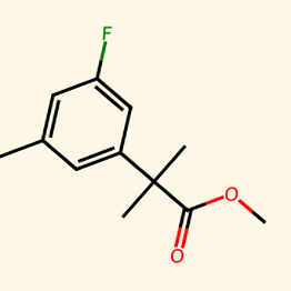 COC(=O)C(C)(C)c1cc(C)cc(F)c1